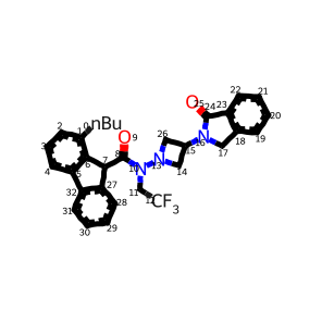 CCCCc1cccc2c1C(C(=O)N(CC(F)(F)F)N1CC(N3Cc4ccccc4C3=O)C1)c1ccccc1-2